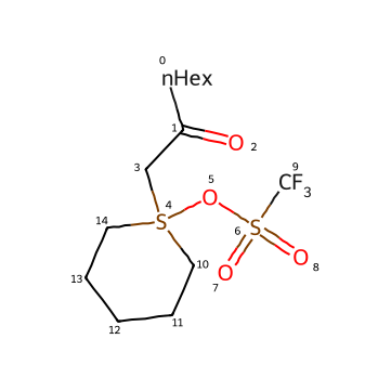 CCCCCCC(=O)CS1(OS(=O)(=O)C(F)(F)F)CCCCC1